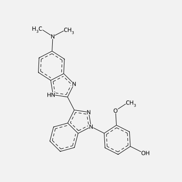 COc1cc(O)ccc1-n1nc(-c2nc3cc(N(C)C)ccc3[nH]2)c2ccccc21